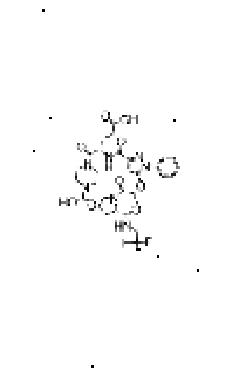 C[C@H](Oc1cc(C(=O)N[C@@H](CCC(=O)O)C(=O)N2CCN(C(=O)O)CC2)nn1-c1ccccc1)C(=O)N1CCC[C@H]1C(=O)NCC(F)(F)F